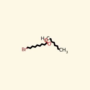 CCCCCC(CC)OC(=O)CCCCCCCCBr